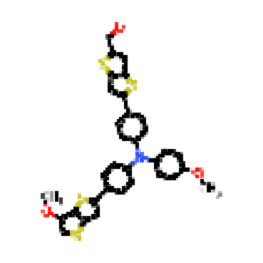 COc1ccc(N(c2ccc(-c3cc4sc(C=O)cc4s3)cc2)c2ccc(-c3cc4scc(OC)c4s3)cc2)cc1